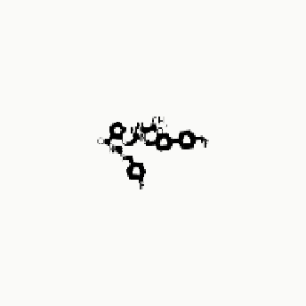 CC(=O)c1nnc(Cn2c(SCc3ccc(F)cc3)nc(=O)c3c2CCC3)n1Cc1ccc(-c2ccc(CF)cc2)cc1